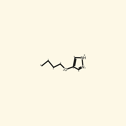 CCCCOc1cn[nH]c1